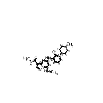 CNC(=O)c1cnn2c(NC)cc(Nc3cccn(C4CCN(C)CC4)c3=O)nc12